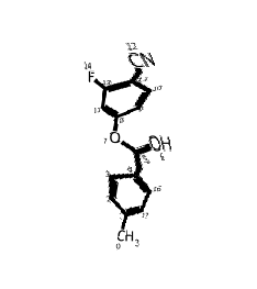 Cc1ccc(C(O)Oc2ccc(C#N)c(F)c2)cc1